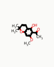 COc1cc2c(c(O)c1C(C)=O)C=CC(C)(C)O2